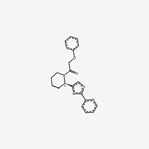 O=C(COc1ccccc1)N1CCCC[C@@H]1c1csc(-c2ccccn2)n1